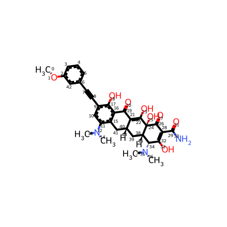 COc1cccc(C#Cc2cc(N(C)C)c3c(c2O)C(=O)C2=C(O)[C@]4(O)C(=O)C(C(N)=O)=C(O)[C@H](N(C)C)[C@@H]4C[C@@H]2C3)c1